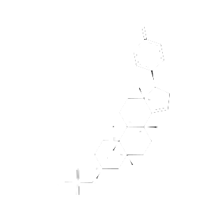 C[C@]12CC[C@H](NS(C)(=O)=O)C[C@H]1CC[C@H]1C3=CC[C@H](c4ccc(=O)oc4)[C@@]3(C)CC[C@@H]12